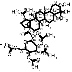 C=C(C)[C@@H]1CC[C@]2(C(=O)O[C@@H]3O[C@H](COC(C)=O)[C@@H](OC(C)=O)[C@H](OC(C)=O)[C@H]3OC(C)=O)CC[C@]3(C)[C@H](CC[C@@H]4[C@@]5(C)CC[C@H](O)C(C)(C)[C@@H]5CC[C@]43C)[C@@H]12